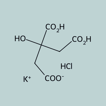 Cl.O=C([O-])CC(O)(CC(=O)O)C(=O)O.[K+]